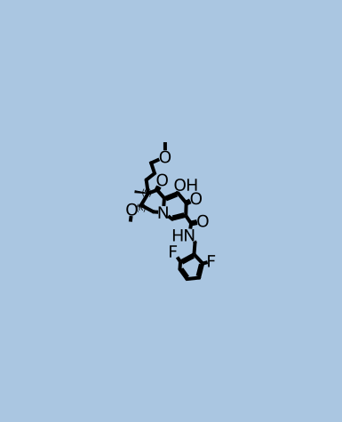 COCCC[C@]1(C)C(=O)c2c(O)c(=O)c(C(=O)NCc3c(F)cccc3F)cn2C[C@@H]1OC